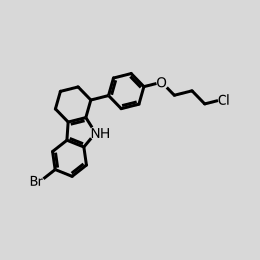 ClCCCOc1ccc(C2CCCc3c2[nH]c2ccc(Br)cc32)cc1